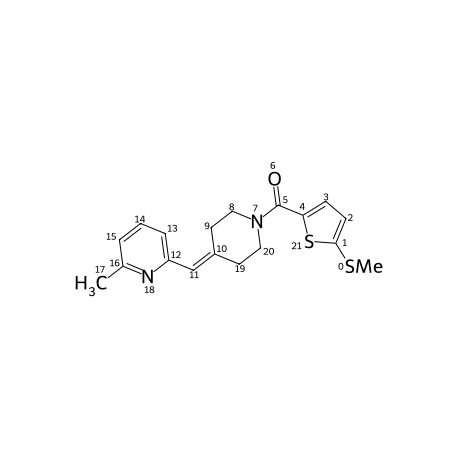 CSc1ccc(C(=O)N2CCC(=Cc3cccc(C)n3)CC2)s1